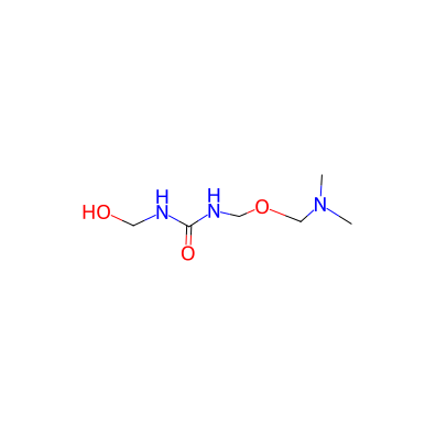 CN(C)COCNC(=O)NCO